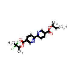 CC(F)(F)C(OC(=O)c1ccc(-c2ccc(C(=O)OC(CS(=O)(=O)O)C(F)(F)F)cn2)nc1)C(F)(F)F